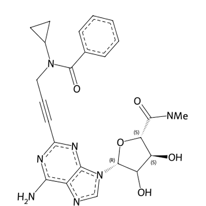 CNC(=O)[C@H]1O[C@@H](n2cnc3c(N)nc(C#CCN(C(=O)c4ccccc4)C4CC4)nc32)C(O)[C@@H]1O